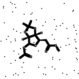 COC(=O)C[C@H]1OC(OC(C)=O)[C@@H]2OC(C)(C)O[C@H]12